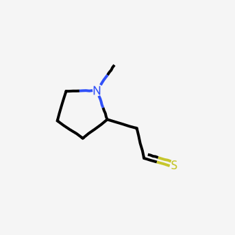 CN1CCCC1CC=S